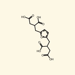 O=C(O)CC(Cc1ccc(CC(CC(=O)O)C(=O)O)o1)C(=O)O